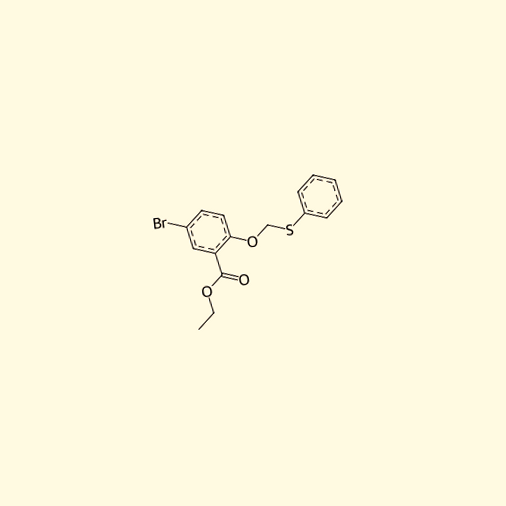 CCOC(=O)c1cc(Br)ccc1OCSc1ccccc1